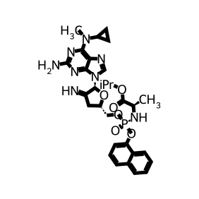 CC(C)OC(=O)[C@@H](C)N[P@](=O)(OC[C@@H]1CC(=N)[C@H](n2cnc3c(N(C)C4CC4)nc(N)nc32)O1)Oc1cccc2ccccc12